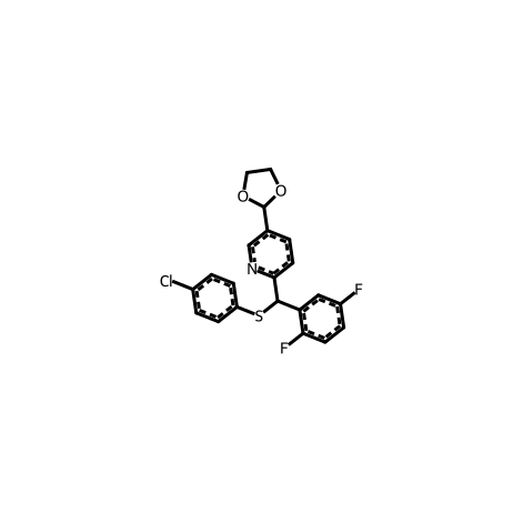 Fc1ccc(F)c(C(Sc2ccc(Cl)cc2)c2ccc(C3OCCO3)cn2)c1